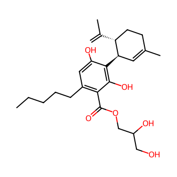 C=C(C)[C@@H]1CCC(C)=C[C@H]1c1c(O)cc(CCCCC)c(C(=O)OCC(O)CO)c1O